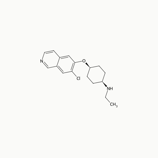 CCN[C@H]1CC[C@@H](Oc2cc3ccncc3cc2Cl)CC1